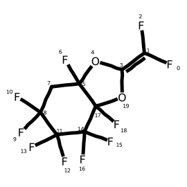 FC(F)=C1OC2(F)CC(F)(F)C(F)(F)C(F)(F)C2(F)O1